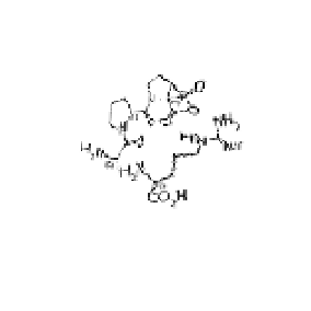 C[C@H](N)C(=O)N1CCC[C@H]1C(=O)N1CCC2[C@@]13C(=O)OP23=O.N=C(N)NCCC[C@H](N)C(=O)O